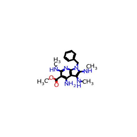 CNc1nc2c(c(N)c1C(=O)OC)c(NC)c(NC)n2Cc1ccccc1